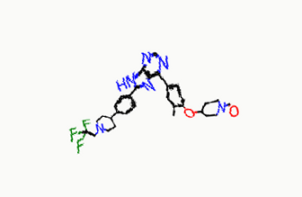 Cc1cc(-c2ncnc3[nH]c(-c4ccc(C5CCN(CC(F)(F)F)CC5)cc4)nc23)ccc1OC1CCN(C=O)CC1